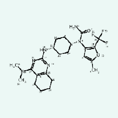 Cc1cc(N(C(N)=O)[C@H]2CC[C@@H](Nc3nc4c(c(N(C)C)n3)CCCC4)CC2)c(C(F)(F)F)o1